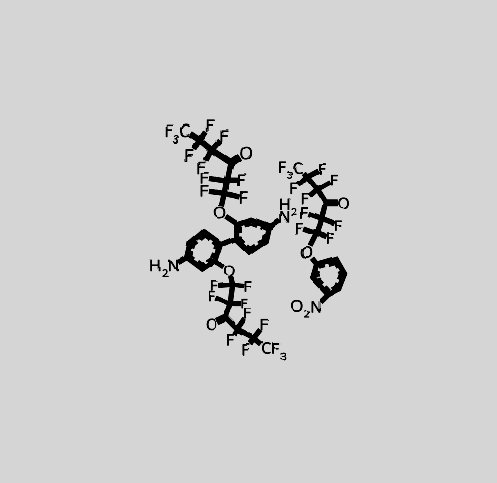 Nc1ccc(-c2ccc(N)cc2OC(F)(F)C(F)(F)C(=O)C(F)(F)C(F)(F)C(F)(F)F)c(OC(F)(F)C(F)(F)C(=O)C(F)(F)C(F)(F)C(F)(F)F)c1.O=C(C(F)(F)C(F)(F)Oc1cccc([N+](=O)[O-])c1)C(F)(F)C(F)(F)C(F)(F)F